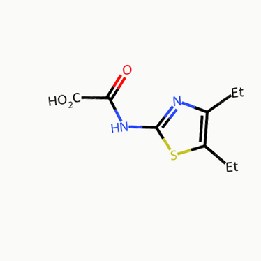 CCc1nc(NC(=O)C(=O)O)sc1CC